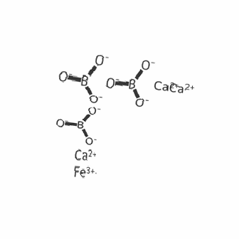 [Ca+2].[Ca+2].[Ca+2].[Fe+3].[O-]B([O-])[O-].[O-]B([O-])[O-].[O-]B([O-])[O-]